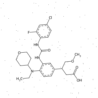 CCN(c1ccc(C(COC)CC(=O)O)cc1NC(=O)Nc1ccc(Cl)cc1F)C1CCOCC1